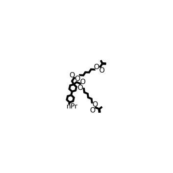 C=C(C)C(=O)OCCCCCCOC(=O)CC1(CC(=O)OCCCCCCOC(=O)C(=C)C)CCC(C2CCC(CCC)CC2)CC1